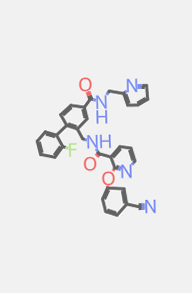 N#Cc1cccc(Oc2ncccc2C(=O)NCc2cc(C(=O)NCc3ccccn3)ccc2-c2ccccc2F)c1